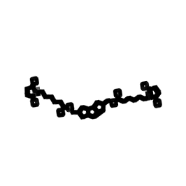 O=C(CCCCCN1C(=O)C=CC1=O)OCC1CC2C(C1)C1C3C(COC(=O)CCCCCN4C(=O)C=CC4=O)CC2C31